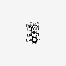 CN(C)CC(O)(CNC(=O)c1c(Cl)cccc1Cl)C(F)(F)F